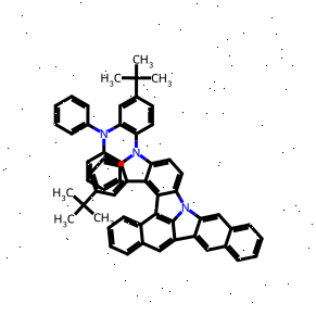 CC(C)(C)c1ccc(-n2c3ccc(C(C)(C)C)cc3c3c4c5c6ccccc6cc6c7cc8ccccc8cc7n(c4ccc32)c65)c(N(c2ccccc2)c2ccccc2)c1